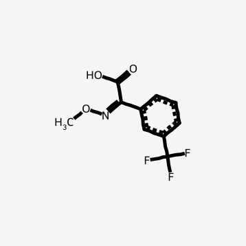 CON=C(C(=O)O)c1cccc(C(F)(F)F)c1